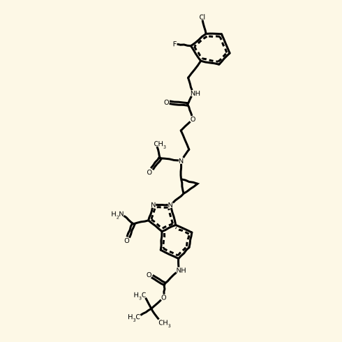 CC(=O)N(CCOC(=O)NCc1cccc(Cl)c1F)C1CC1n1nc(C(N)=O)c2cc(NC(=O)OC(C)(C)C)ccc21